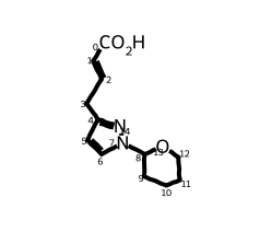 O=C(O)/C=C/Cc1ccn(C2CCCCO2)n1